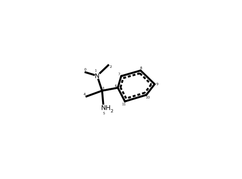 CN(C)C(C)(N)c1ccccc1